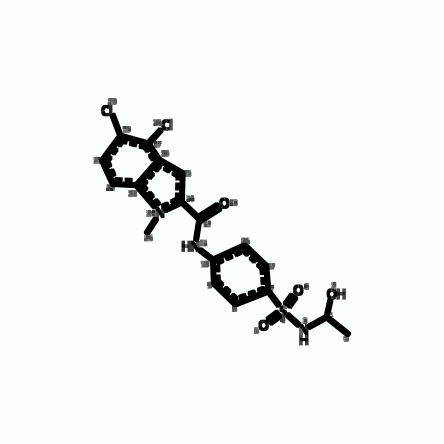 CC(O)NS(=O)(=O)c1ccc(NC(=O)c2cc3c(Cl)c(Cl)ccc3n2C)cc1